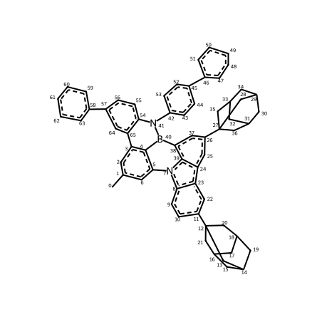 Cc1cc2c3c(c1)-n1c4ccc(C56CC7CC(CC(C7)C5)C6)cc4c4cc(C56CC7CC(CC(C7)C5)C6)cc(c41)B3N(c1ccc(-c3ccccc3)cc1)c1ccc(-c3ccccc3)cc1-2